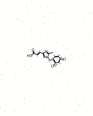 Cc1nc(/C=C/C(=O)O)cn1Cc1ccc(Cl)cc1Cl